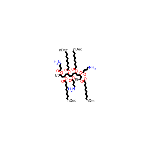 CCCCCCCCCCCCCCCCCCC(=O)OC(CC)CC(CC(CC(CC(CC(CC(CC)OC(=O)CCCN)OC(=O)CCCCCCCCCCCCCCCCCC)OC(=O)CCCCCCCCCCCCCCCCCC)OC(=O)CCCN)OC(=O)CCCCCCCCCCCCCCCCCC)OC(=O)CCCN